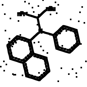 CCCCC(CCC)N(c1ccccc1)c1cccc2ccccc12